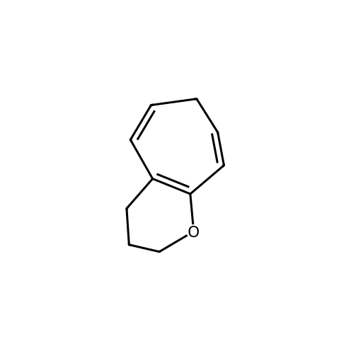 C1=CC2=C(C=CC1)OCCC2